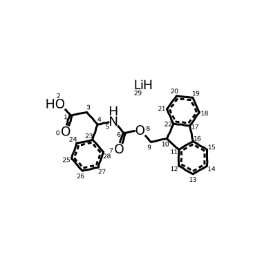 O=C(O)CC(NC(=O)OCC1c2ccccc2-c2ccccc21)c1ccccc1.[LiH]